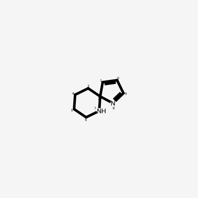 C1=CC2(CCCCN2)N=C1